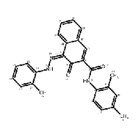 Cc1ccc(NC(=O)C2=Cc3ccccc3/C(=N/Nc3ccccc3O)C2=O)c(C)c1